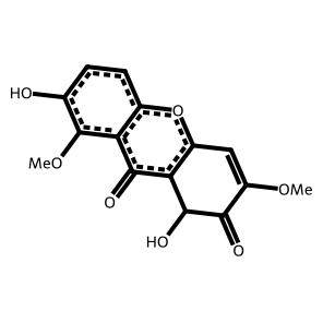 COC1=Cc2oc3ccc(O)c(OC)c3c(=O)c2C(O)C1=O